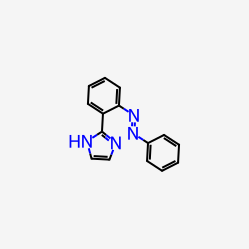 c1ccc(N=Nc2ccccc2-c2ncc[nH]2)cc1